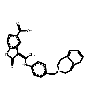 C/C(Nc1ccc(CN2CC=C3CC=CC=C3CC2)cc1)=C1/C(=O)Nc2ccc(C(=O)O)cc21